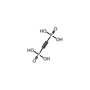 O=P(O)(O)C#CP(=O)(O)O